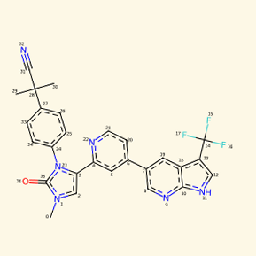 Cn1cc(-c2cc(-c3cnc4[nH]cc(C(F)(F)F)c4c3)ccn2)n(-c2ccc(C(C)(C)C#N)cc2)c1=O